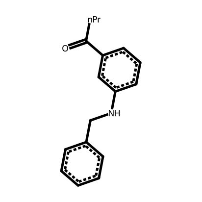 CCCC(=O)c1cccc(NCc2ccccc2)c1